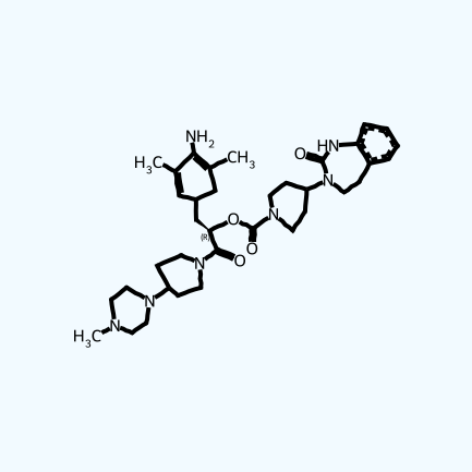 CC1=CC(C[C@@H](OC(=O)N2CCC(N3CCc4ccccc4NC3=O)CC2)C(=O)N2CCC(N3CCN(C)CC3)CC2)CC(C)=C1N